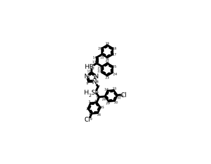 Clc1ccc(C([SiH2]Cn2cnc(BC(=Cc3ccccc3)c3ccccc3)n2)c2ccc(Cl)cc2)cc1